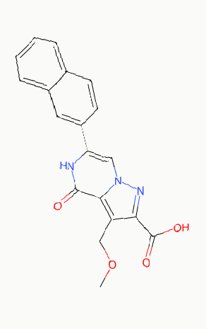 COCc1c(C(=O)O)nn2cc(-c3ccc4ccccc4c3)[nH]c(=O)c12